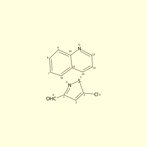 O=Cc1cc(Cl)sn1.c1ccc2ncccc2c1